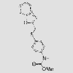 COC(=O)Nc1ccc(SCc2nc3ccccc3o2)cc1